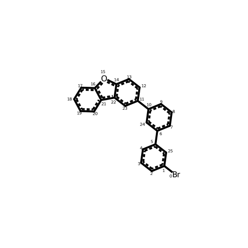 Brc1cccc(-c2cccc(-c3ccc4oc5ccccc5c4c3)c2)c1